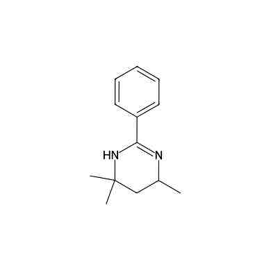 CC1CC(C)(C)NC(c2ccccc2)=N1